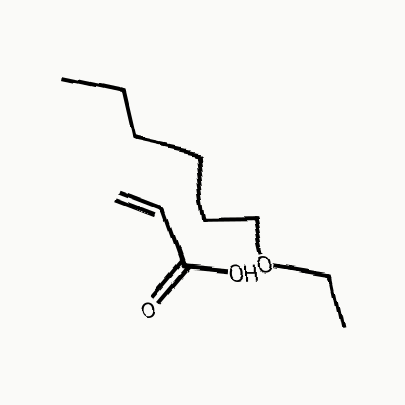 C=CC(=O)O.CCCCCCOCC